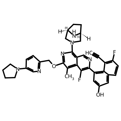 C#Cc1c(F)ccc2cc(O)cc(-c3ncc4c(N5C[C@H]6CC[C@@H](C5)N6)nc(OCc5ccc(N6CCCC6)cn5)c(C)c4c3F)c12